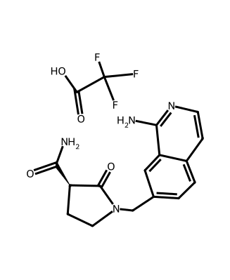 NC(=O)[C@@H]1CCN(Cc2ccc3ccnc(N)c3c2)C1=O.O=C(O)C(F)(F)F